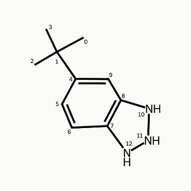 CC(C)(C)c1ccc2c(c1)NNN2